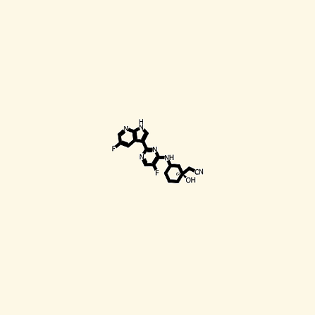 N#CC[C@]1(O)CCCC(Nc2nc(-c3c[nH]c4ncc(F)cc34)ncc2F)C1